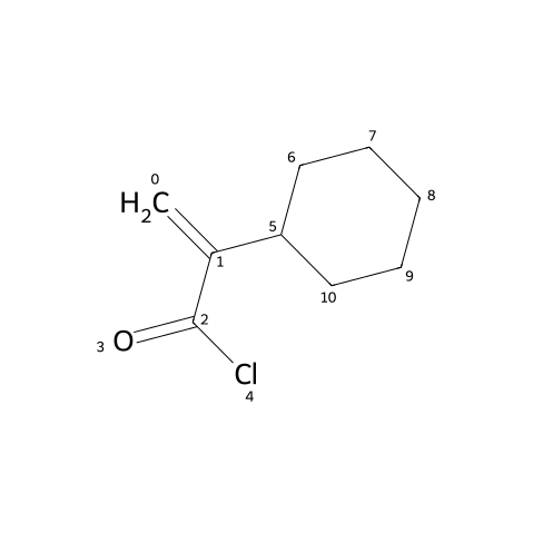 C=C(C(=O)Cl)C1CCCCC1